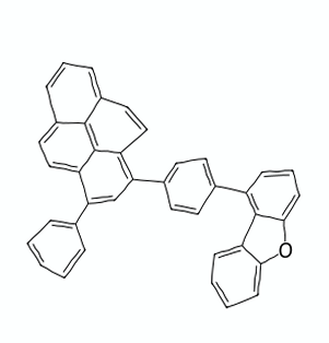 c1ccc(-c2cc(-c3ccc(-c4cccc5oc6ccccc6c45)cc3)c3ccc4cccc5ccc2c3c54)cc1